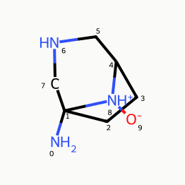 NC12CCC(CNC1)[NH+]2[O-]